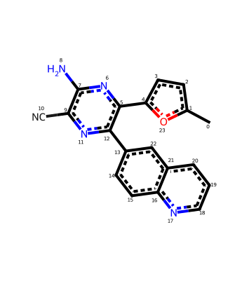 Cc1ccc(-c2nc(N)c(C#N)nc2-c2ccc3ncccc3c2)o1